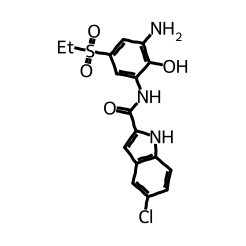 CCS(=O)(=O)c1cc(N)c(O)c(NC(=O)c2cc3cc(Cl)ccc3[nH]2)c1